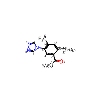 COC(=O)c1cc(-n2cnnc2)c(C(F)(F)F)cc1NC(C)=O